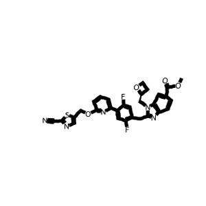 COC(=O)c1ccc2nc(Cc3cc(F)c(-c4cccc(OCc5cnc(C#N)s5)n4)cc3F)n(C[C@@H]3CCO3)c2c1